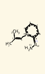 CC(C)=Cn1cccc/c1=N/N